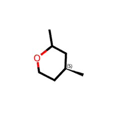 CC1C[C@@H](C)CCO1